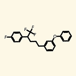 Fc1ccc(C(CCCc2cccc(Oc3ccccc3)c2)C(F)(F)F)cc1